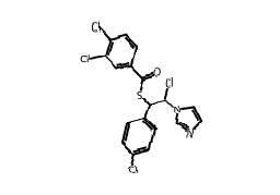 O=C(SC(c1ccc(Cl)cc1)C(Cl)n1ccnc1)c1ccc(Cl)c(Cl)c1